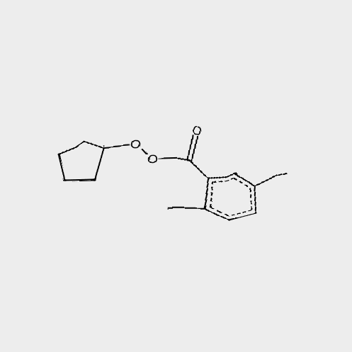 Cc1ccc(C)c(C(=O)OO[C]2CCCC2)c1